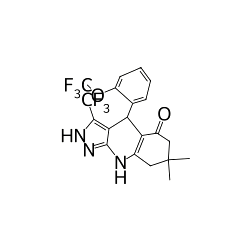 CC1(C)CC(=O)C2=C(C1)Nc1n[nH]c(C(F)(F)F)c1C2c1ccccc1OC(F)(F)F